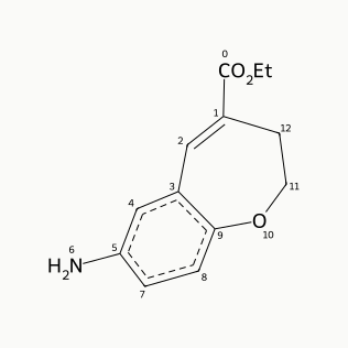 CCOC(=O)C1=Cc2cc(N)ccc2OCC1